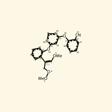 CO/C=C(/COOC)c1ccccc1Oc1cc(Oc2ccccc2C#N)ncn1